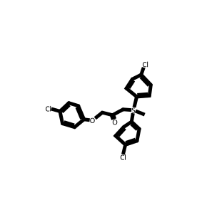 CS(CC(=O)COc1ccc(Cl)cc1)(c1ccc(Cl)cc1)c1ccc(Cl)cc1